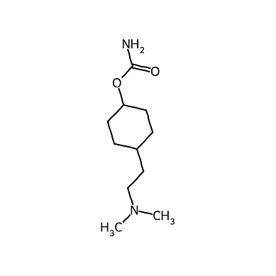 CN(C)CCC1CCC(OC(N)=O)CC1